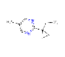 Cc1cnc(C2(CC(F)(F)F)CC2)nc1